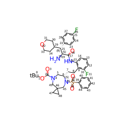 CC(C)(C)OC(=O)N1C[C@H](CCc2c(F)cccc2NC(=O)[C@@H](N)[C@@H](c2ccc(F)cc2)C2CCOCC2)N(S(=O)(=O)c2ccccc2)CC2(CC2)C1